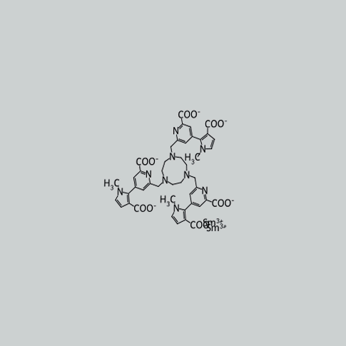 Cn1ccc(C(=O)[O-])c1-c1cc(CN2CCN(Cc3cc(-c4c(C(=O)[O-])ccn4C)cc(C(=O)[O-])n3)CCN(Cc3cc(-c4c(C(=O)[O-])ccn4C)cc(C(=O)[O-])n3)CC2)nc(C(=O)[O-])c1.[Sm+3].[Sm+3]